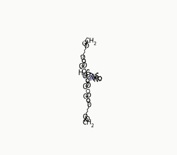 C=CC(=O)OCCCCCCOc1ccc(OC(=O)[C@H]2CC[C@H](OC(=O)c3ccc(OC(=O)[C@H]4CC[C@H](OC(=O)c5ccc(OCCCCCCOC(=O)C=C)cc5)CC4)cc3/C=N/N(CC#CC)c3nc4ccccc4s3)CC2)cc1